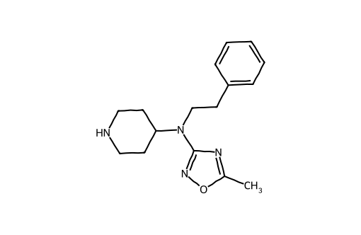 Cc1nc(N(CCc2ccccc2)C2CCNCC2)no1